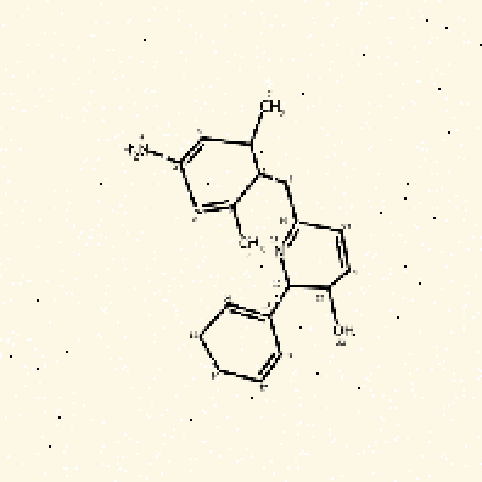 CC1=CC(N)=CC(C)C1CC1=NC(C2=CCCC=C2)C(O)C=C1